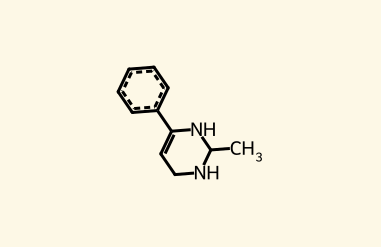 CC1NCC=C(c2ccccc2)N1